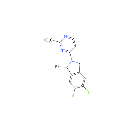 CCC1c2cc(F)c(F)cc2CN1c1ccnc(C(=O)O)n1